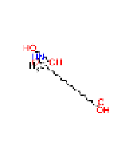 C1CO1.CCCCCCCCCCCCCCCCCC(=O)O.OCCNCCO